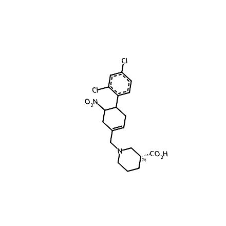 O=C(O)[C@@H]1CCCN(CC2=CCC(c3ccc(Cl)cc3Cl)C([N+](=O)[O-])C2)C1